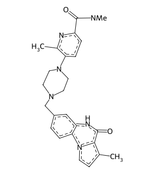 CNC(=O)c1ccc(N2CCN(Cc3ccc4c(c3)[nH]c(=O)c3c(C)ccn34)CC2)c(C)n1